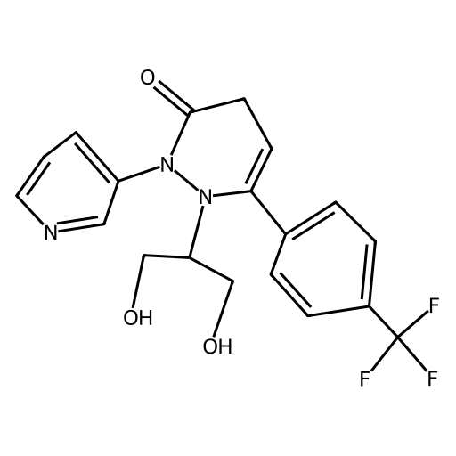 O=C1CC=C(c2ccc(C(F)(F)F)cc2)N(C(CO)CO)N1c1cccnc1